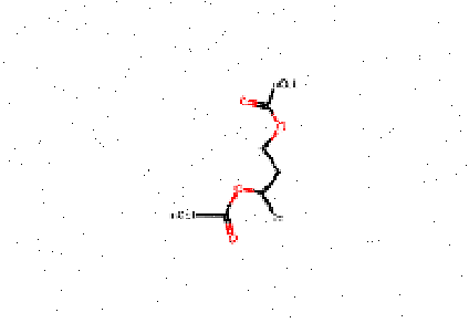 CCCCCCCCC(=O)O[CH]CC(CC)OC(=O)CCCCCCCC